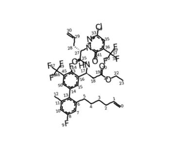 C=CCCCCc1cc(F)cc(C)c1-c1cc([C@H](CC(=O)OCC)NC(=O)[C@H](CC=C)n2nc(Cl)cc(C(F)(F)F)c2=O)c(F)c(C(F)(F)F)c1